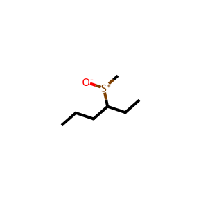 CCCC(CC)[S+](C)[O-]